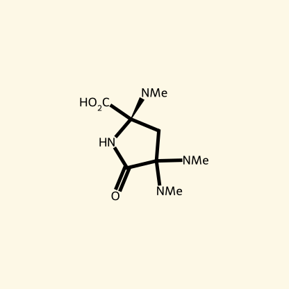 CNC1(NC)C[C@@](NC)(C(=O)O)NC1=O